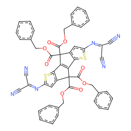 N#CC(C#N)=Nc1cc2c(s1)C1=C(c3sc(N=C(C#N)C#N)cc3C1(C(=O)OCc1ccccc1)C(=O)OCc1ccccc1)C2(C(=O)OCc1ccccc1)C(=O)OCc1ccccc1